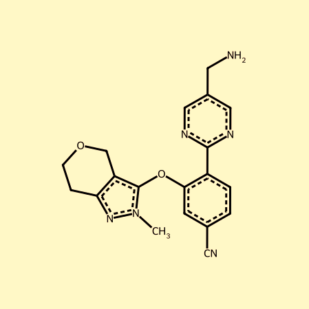 Cn1nc2c(c1Oc1cc(C#N)ccc1-c1ncc(CN)cn1)COCC2